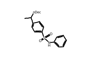 CCCCCCCCCCC(C)c1ccc(S(=O)(=O)Nc2ccccc2)cc1